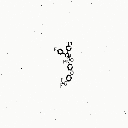 O=C(Nc1ccc(Oc2ccc(OC(F)F)cc2)cc1)N1CC(c2ccc(F)cc2)C(c2ccc(Cl)cc2)=N1